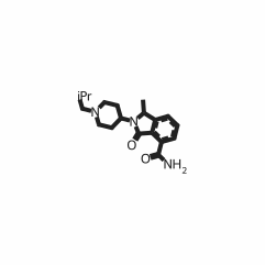 CC(C)CN1CCC(N2C(=O)c3c(C(N)=O)cccc3C2C)CC1